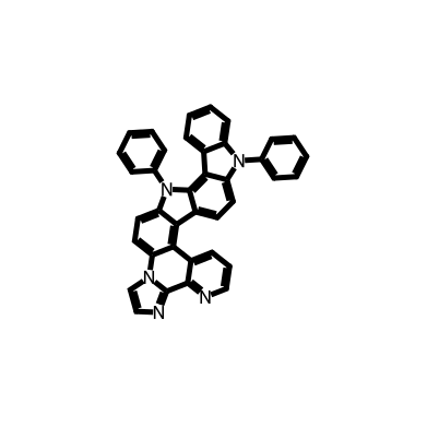 c1ccc(-n2c3ccccc3c3c2ccc2c4c5c6cccnc6c6nccn6c5ccc4n(-c4ccccc4)c23)cc1